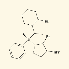 CCCC1CC[C@H]([S@](C)(c2ccccc2)C(C)C2CCCCC2CC)C1CC